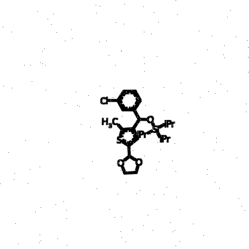 Cc1sc(C2OCCO2)cc1C(O[Si](C(C)C)(C(C)C)C(C)C)c1cccc(Cl)c1